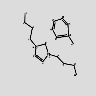 CCCCN1C=CN(CCCC)C1.Cc1ccccc1